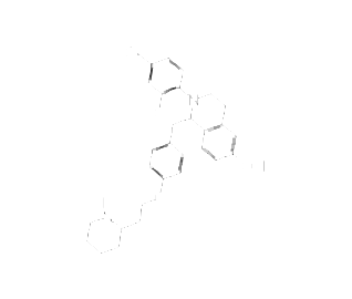 Oc1ccc2c(c1)CCN(c1ccc(Cl)cc1Cl)C2Cc1ccc(OCCC2CCCCN2)cc1